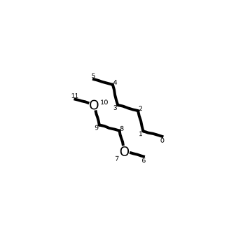 CCCCCC.COCCOC